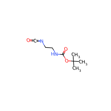 CC(C)(C)OC(=O)NCCN=C=O